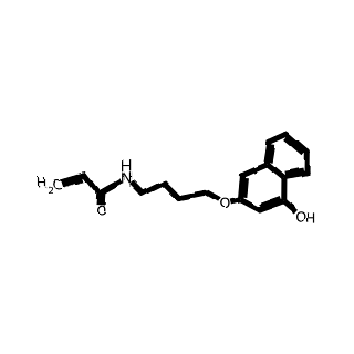 C=CC(=O)NCCCCOc1cc(O)c2ccccc2c1